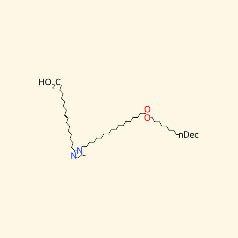 CCCCCCCCCCCCCCCCCCOC(=O)CCCCCCCC=CCCCCCCCCN1C(CCCCCCCC=CCCCCCCCC(=O)O)=NCC1C